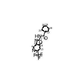 O=C(Nc1nc2cnc(C(F)(F)F)cc2o1)c1ccccc1